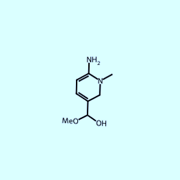 COC(O)C1=CC=C(N)N(C)C1